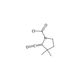 CC1(C)CCN(C(=O)Cl)C1=C=O